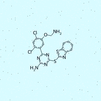 NCOc1cc(-c2nc(N)nc(Sc3nc4ccccc4s3)n2)c(Cl)cc1Cl